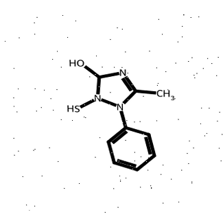 CC1=NC(O)N(S)N1c1ccccc1